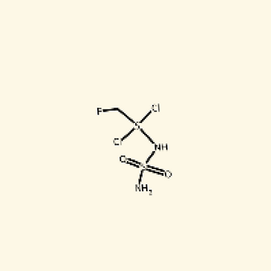 NS(=O)(=O)NS(Cl)(Cl)CF